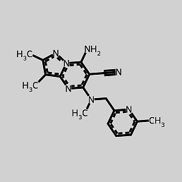 Cc1cccc(CN(C)c2nc3c(C)c(C)nn3c(N)c2C#N)n1